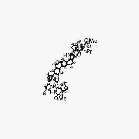 COC(=O)NC(C(=O)N1C[C@@H](C)C[C@H]1c1ncc(-c2ccc3c(c2)COc2cc4c(ccc5nc([C@@H]6CC[C@H](C)N6C(=O)[C@@H](NC(=O)OC)C(C)C)[nH]c54)cc2-3)[nH]1)C1CCOCC1